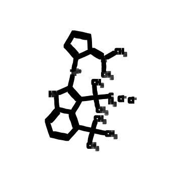 C[Si](C)=C1C=CC=[C]1[Ti+2][c]1[nH]c2cccc(C(C)(C)C)c2c1C(C)(C)C.[Cl-].[Cl-]